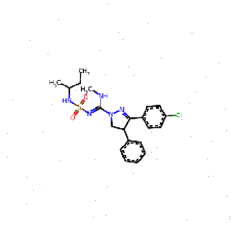 CCC(C)NS(=O)(=O)N=C(NC)N1CC(c2ccccc2)C(c2ccc(Cl)cc2)=N1